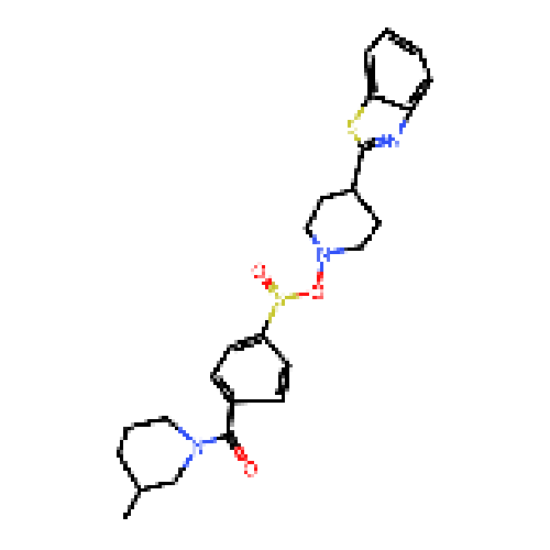 CC1CCCN(C(=O)c2ccc(S(=O)ON3CCC(c4nc5ccccc5s4)CC3)cc2)C1